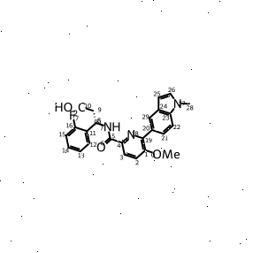 COc1ccc(C(=O)N[C@@H](CC(=O)O)c2ccccc2F)nc1-c1ccc2c(ccn2C)c1